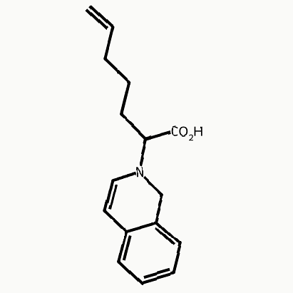 C=CCCCC(C(=O)O)N1C=Cc2ccccc2C1